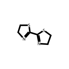 [CH]1CSC(C2=NCCS2)=N1